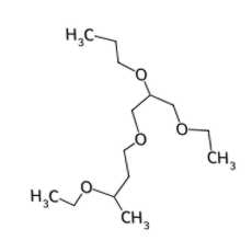 CCCOC(COCC)COCCC(C)OCC